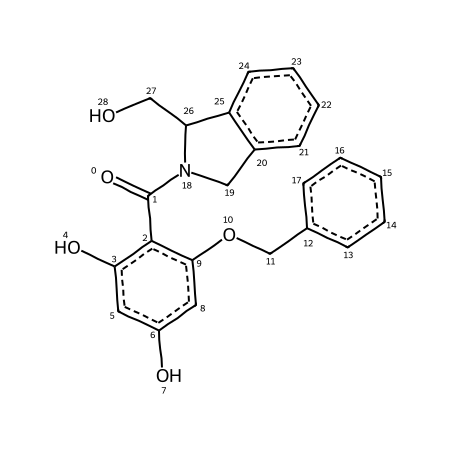 O=C(c1c(O)cc(O)cc1OCc1ccccc1)N1Cc2ccccc2C1CO